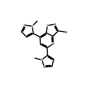 Cn1nccc1-c1cc(-c2ccnn2C)c2snc(Br)c2n1